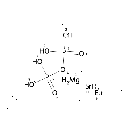 O=P(O)(O)OP(=O)(O)O.[Eu].[MgH2].[SrH2]